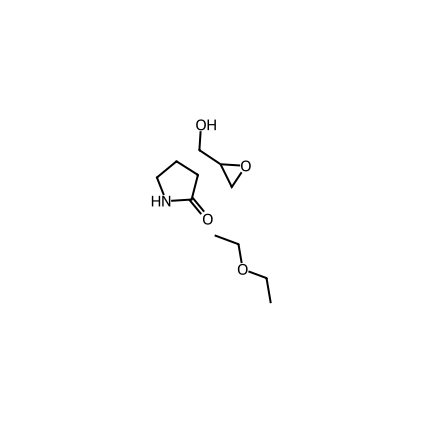 CCOCC.O=C1CCCN1.OCC1CO1